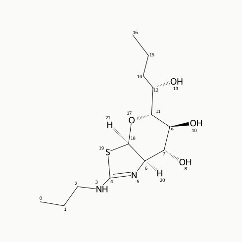 CCCNC1=N[C@@H]2[C@@H](O)[C@H](O)[C@@H]([C@@H](O)CCC)O[C@@H]2S1